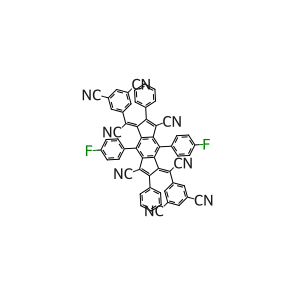 N#CC1=C(c2ccccc2)/C(=C(/C#N)c2cc(C#N)cc(C#N)c2)c2c1c(-c1ccc(F)cc1)c1c(c2-c2ccc(F)cc2)C(C#N)=C(c2ccccc2)/C1=C(/C#N)c1cc(C#N)cc(C#N)c1